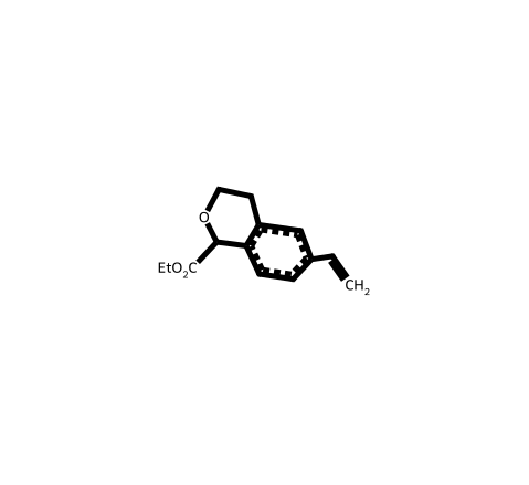 C=Cc1ccc2c(c1)CCOC2C(=O)OCC